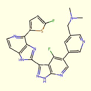 CN(C)Cc1cncc(-c2cnc3[nH]nc(-c4nc5c(-c6ccc(F)s6)nccc5[nH]4)c3c2F)c1